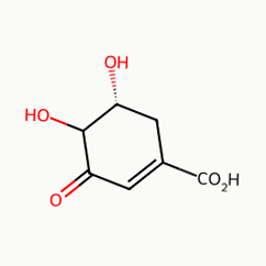 O=C(O)C1=CC(=O)C(O)[C@H](O)C1